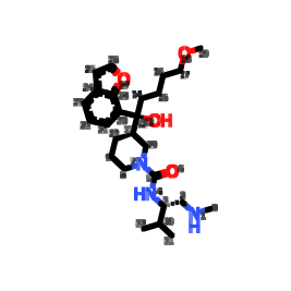 CNC[C@@H](NC(=O)N1CCC[C@@H]([C@@](O)(CCCCOC)c2cccc3ccoc23)C1)C(C)C